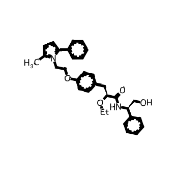 CCO[C@@H](Cc1ccc(OCCn2c(C)ccc2-c2ccccc2)cc1)C(=O)N[C@@H](CO)c1ccccc1